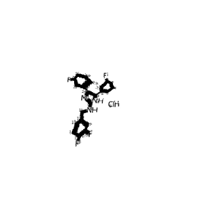 Cl.Fc1cccc([C@H]2NC(NCc3ccc(F)c(F)c3)=N[C@H]2c2cccc(F)c2)c1